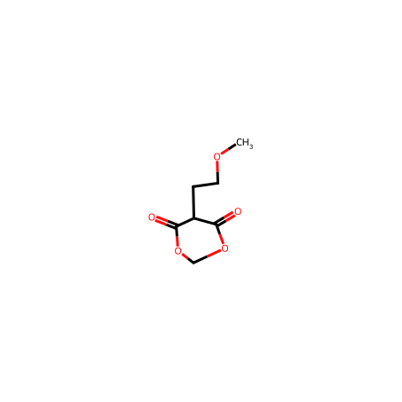 COCCC1C(=O)OCOC1=O